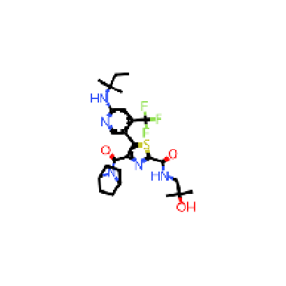 CCC(C)(C)Nc1cc(C(F)(F)F)c(-c2sc(C(=O)NCC(C)(C)O)nc2C(=O)N2C3CCC2CC3)cn1